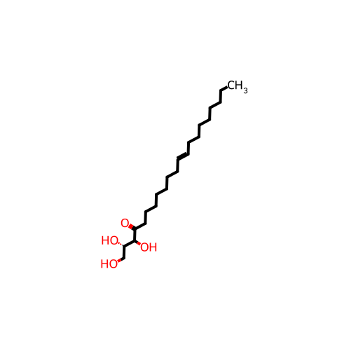 CCCCCCCC/C=C/CCCCCCCC(=O)C(O)[C@@H](O)CO